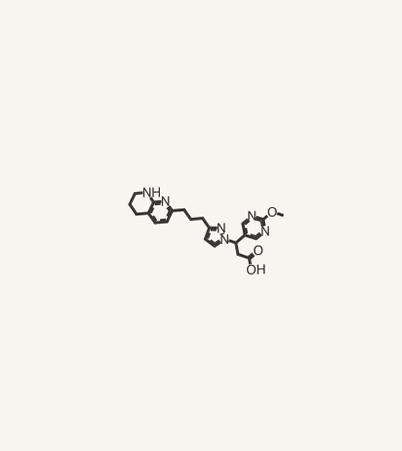 COc1ncc(C(CC(=O)O)n2ccc(CCCc3ccc4c(n3)NCCC4)n2)cn1